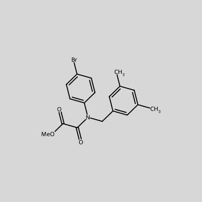 COC(=O)C(=O)N(Cc1cc(C)cc(C)c1)c1ccc(Br)cc1